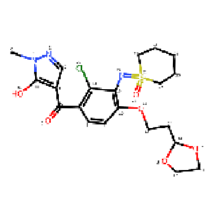 Cn1ncc(C(=O)c2ccc(OCCC3OCCO3)c(N=S3(=O)CCCCC3)c2Cl)c1O